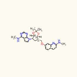 CNc1ccc2ccc(OC[C@H]3CC(n4ccc5c(NC)ncnc54)[C@@H]4OC(C)(C)O[C@H]34)cc2n1